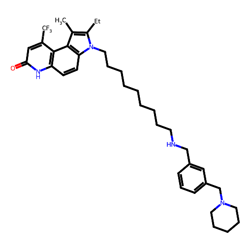 CCc1c(C)c2c3c(C(F)(F)F)cc(=O)[nH]c3ccc2n1CCCCCCCCCNCc1cccc(CN2CCCCC2)c1